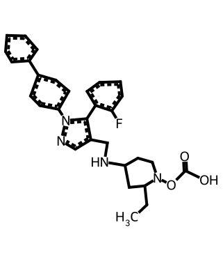 CCC1CC(NCc2cnn(-c3ccc(-c4ccccc4)cc3)c2-c2ccccc2F)CCN1OC(=O)O